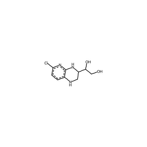 OCC(O)C1CNc2ccc(Cl)nc2N1